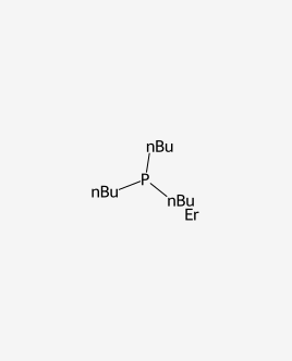 CCCCP(CCCC)CCCC.[Er]